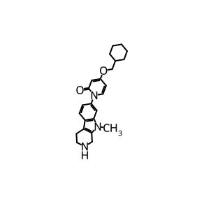 Cn1c2c(c3ccc(-n4ccc(OCC5CCCCC5)cc4=O)cc31)CCNC2